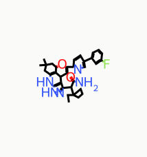 CCC1(C(C(N)=O)c2n[nH]c3c2C(C=Cc2ccc(-c4cccc(F)c4)cn2)C2=C(CC(C)(C)CC2=O)N3)CCC1